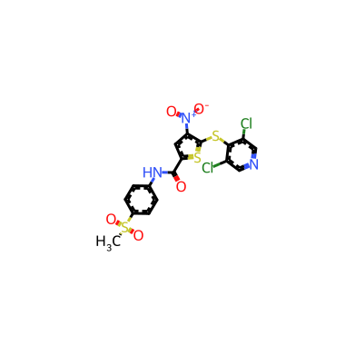 CS(=O)(=O)c1ccc(NC(=O)c2cc([N+](=O)[O-])c(Sc3c(Cl)cncc3Cl)s2)cc1